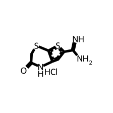 Cl.N=C(N)c1cc2c(s1)SCC(=O)N2